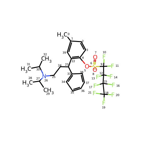 Cc1ccc(OS(=O)(=O)C(F)(F)C(F)(F)C(F)(F)C(F)(F)F)c(C(CCN(C(C)C)C(C)C)c2ccccc2)c1